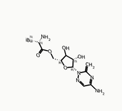 C=C1N=C(N)C=NN1[C@@H]1O[C@H](COC(=O)[C@@H](N)[C@@H](C)CC)C(O)[C@@H]1O